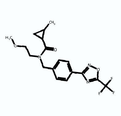 COCCN(Cc1ccc(-c2noc(C(F)(F)F)n2)cc1)C(=O)C1CC1C